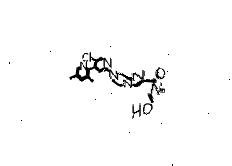 Cc1cnc(-c2cc(N3CCn4cc(C(=O)N(C)CCO)nc4C3)ncc2Cl)c(C)c1